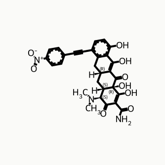 CN(C)[C@@H]1C(=O)C(C(N)=O)=C(O)[C@@]2(O)C(=O)C3=C(O)c4c(O)ccc(C#Cc5ccc([N+](=O)[O-])cc5)c4C[C@H]3C[C@@H]12